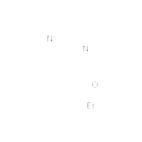 CCOC1=CC=[N+]C=N1